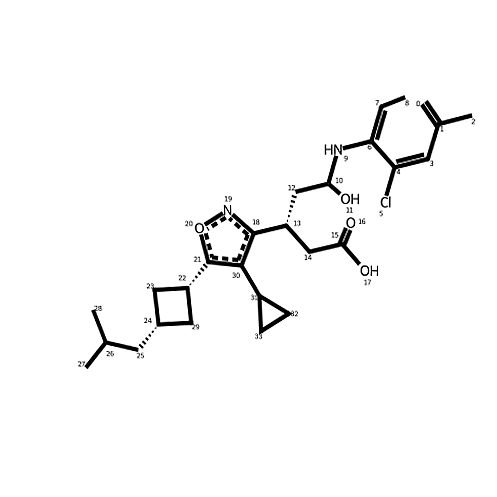 C=C(C)/C=C(Cl)\C(=C/C)NC(O)C[C@H](CC(=O)O)c1noc([C@H]2C[C@@H](CC(C)C)C2)c1C1CC1